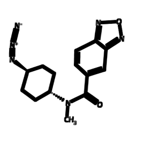 CN(C(=O)c1ccc2nonc2c1)[C@H]1CC[C@H](N=[N+]=[N-])CC1